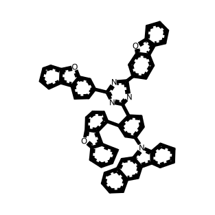 c1ccc2cc3c(cc2c1)c1ccccc1n3-c1ccc(-c2nc(-c3ccc4c(c3)oc3ccccc34)nc(-c3ccc4c(c3)oc3ccccc34)n2)c(-c2cccc3oc4ccccc4c23)c1